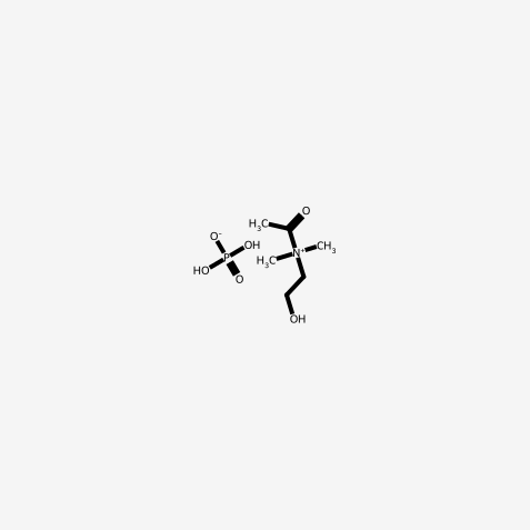 CC(=O)[N+](C)(C)CCO.O=P([O-])(O)O